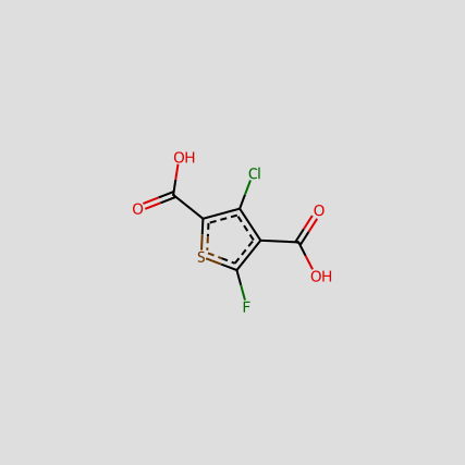 O=C(O)c1sc(F)c(C(=O)O)c1Cl